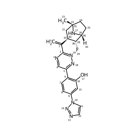 C=C(c1ncc(-c2ccc(-n3ccnn3)cc2O)nn1)[C@H]1C[C@]2(C)CC[C@@H](N2)[C@@H]1F